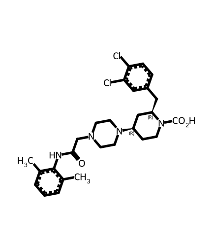 Cc1cccc(C)c1NC(=O)CN1CCN([C@@H]2CCN(C(=O)O)[C@H](Cc3ccc(Cl)c(Cl)c3)C2)CC1